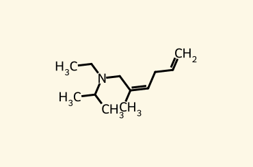 C=CC/C=C(/C)CN(CC)C(C)C